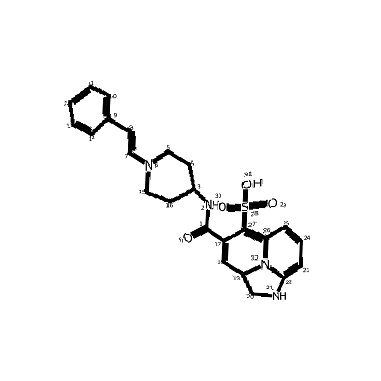 O=C(NC1CCN(C=Cc2ccccc2)CC1)C1=CC2CNC3=CC=CC(=C1S(=O)(=O)O)N32